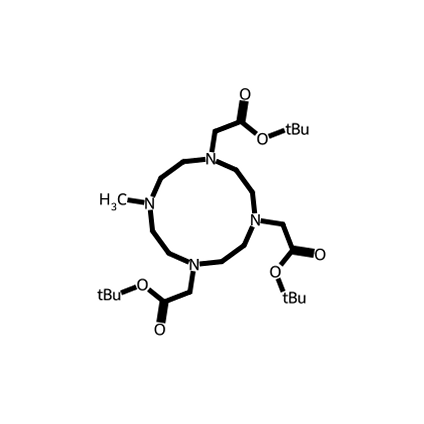 CN1CCN(CC(=O)OC(C)(C)C)CCN(CC(=O)OC(C)(C)C)CCN(CC(=O)OC(C)(C)C)CC1